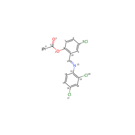 CC(C)C(=O)Oc1ccc(Cl)cc1C=Nc1ccc(Cl)cc1Cl